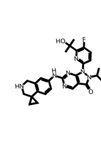 CC(C)n1c(=O)c2cnc(Nc3ccc4c(c3)CNCC43CC3)nc2n1-c1ccc(F)c(C(C)(C)O)n1